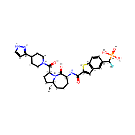 O=C(N[C@H]1CCC[C@H]2CC[C@@H](C(=O)N3CCC(c4cc[nH]n4)CC3)N2C1=O)c1cc2cc(C(F)P(=O)(O)O)ccc2s1